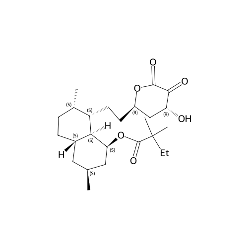 CCC(C)(C)C(=O)O[C@H]1C[C@@H](C)C[C@@H]2CC[C@H](C)[C@H](CC[C@@H]3C[C@@H](O)C(=O)C(=O)O3)[C@H]21